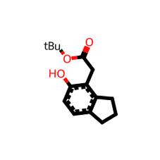 CC(C)(C)OC(=O)Cc1c(O)ccc2c1CCC2